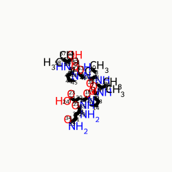 CC(C)C[C@H](NC(=O)[C@@H](NC(=O)[C@@H]1CCCN1C(=O)[C@H](CCC(=O)O)NC(=O)[C@@H](N)CCC(N)=O)C(C)C)C(=O)NCC(=O)N1CCC[C@H]1C(=O)N[C@H](C(=O)O)C(C)C